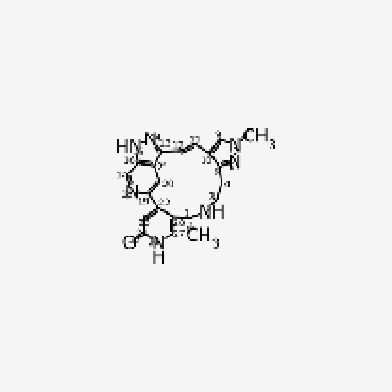 C[C@H]1NCCc2nn(C)cc2/C=C/c2n[nH]c3cnc(cc23)-c2cc(=O)[nH]cc21